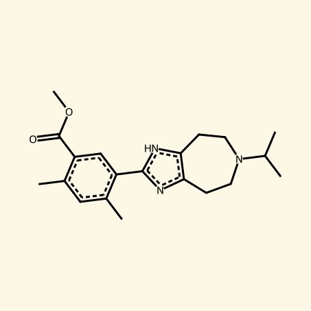 COC(=O)c1cc(-c2nc3c([nH]2)CCN(C(C)C)CC3)c(C)cc1C